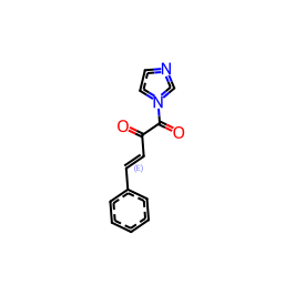 O=C(/C=C/c1ccccc1)C(=O)n1ccnc1